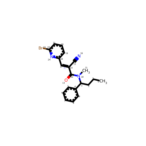 CCCC(c1ccccc1)N(C)C(=O)/C(C#N)=C/c1cccc(Br)n1